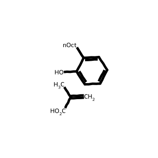 C=C(C)C(=O)O.CCCCCCCCc1ccccc1O